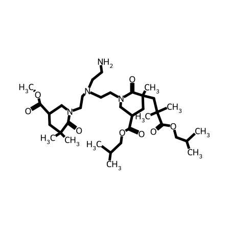 COC(=O)C1CN(CCN(CCN)CCN2CC(C(=O)OCC(C)C)CC(C)(CC(C)(C)C(=O)OCC(C)C)C2=O)C(=O)C(C)(C)C1